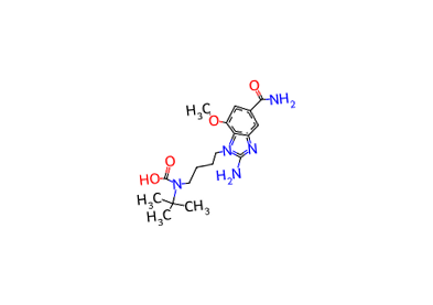 COc1cc(C(N)=O)cc2nc(N)n(CCCCN(C(=O)O)C(C)(C)C)c12